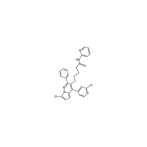 CCc1ccc2c(-c3ccnc(Cl)c3)c(CCCCC(=O)Nc3ccccn3)c(-c3ccccc3)nn12